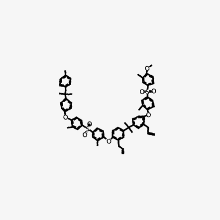 C=CCc1cc(C(C)(C)c2ccc(Oc3ccc(S(=O)(=O)c4ccc(Oc5ccc(C(C)(C)c6ccc(C)cc6)cc5)c(C)c4)cc3C)c(CC=C)c2)ccc1Oc1ccc(S(=O)(=O)c2ccc(OC)c(C)c2)cc1C